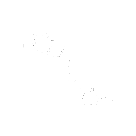 FCc1cccc(C#CCCc2cnc3cc(F)c(F)cc3n2)n1